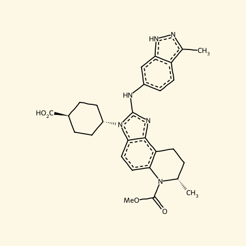 COC(=O)N1c2ccc3c(nc(Nc4ccc5c(C)n[nH]c5c4)n3[C@H]3CC[C@H](C(=O)O)CC3)c2CC[C@@H]1C